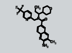 CCC(C1CCOCC1)N(Cc1ccc(C(F)(F)F)cn1)C(=O)c1ccc2nc(N)c(C)cc2c1